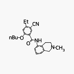 CCCCOc1cc(CC)c(C#N)cc1C(=O)Nc1cccc2c1CCN(C)C2